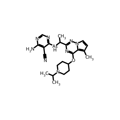 Cc1ccn2nc(C(C)[AsH]c3ncnc(N)c3C#N)nc(OC3CCN(C(C)C)CC3)c12